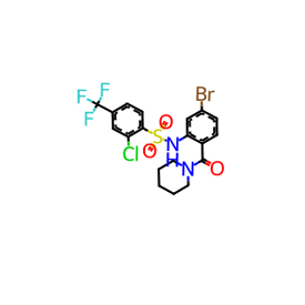 O=C(c1ccc(Br)cc1NS(=O)(=O)c1ccc(C(F)(F)F)cc1Cl)N1CCCCC1